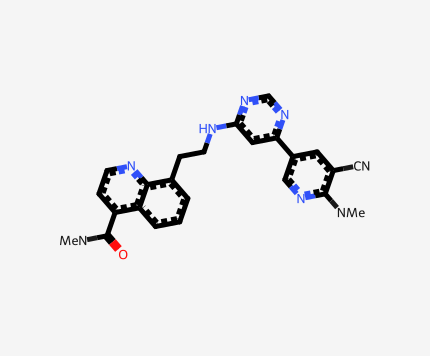 CNC(=O)c1ccnc2c(CCNc3cc(-c4cnc(NC)c(C#N)c4)ncn3)cccc12